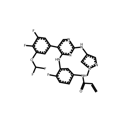 C=CC(=O)Nc1ccc(F)c(Nc2nc(Nc3cnn(C)c3)ncc2-c2cc(F)c(F)c(OC(F)F)c2)c1